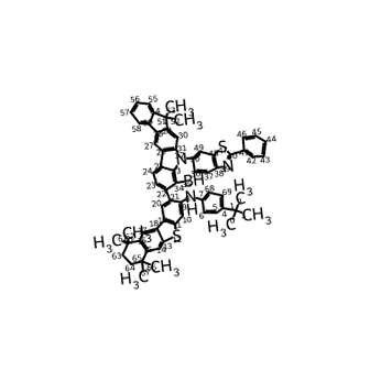 CC(C)(C)c1ccc(Nc2cc3sc4cc5c(cc4c3cc2-c2ccc3c4cc6c(cc4n4c3c2Bc2cc3nc(-c7ccccc7)sc3cc2-4)C(C)(C)c2ccccc2-6)C(C)(C)CCC5(C)C)cc1